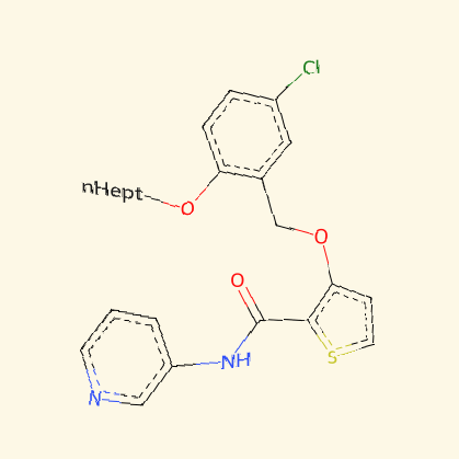 CCCCCCCOc1ccc(Cl)cc1COc1ccsc1C(=O)Nc1cccnc1